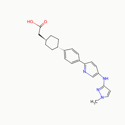 Cn1ccc(Nc2ccc(-c3ccc([C@H]4CC[C@H](CC(=O)O)CC4)cc3)nc2)n1